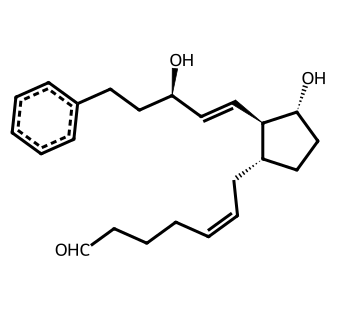 O=CCCC/C=C\C[C@H]1CC[C@@H](O)[C@@H]1/C=C/[C@H](O)CCc1ccccc1